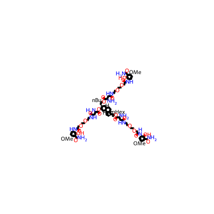 CCCCCC[C@](C)(OC(=O)[C@H](N)CC(=O)NCCOCCOCC(=O)Nc1ccc(OC)c(C(N)=O)c1O)[C@H]1CC[C@H]2[C@@H]3C[C@H](OC(=O)[C@@H](N)CC(=O)NCCOCCOCC(=O)Nc4ccc(OC)c(C(N)=O)c4O)[C@@H](C[C@H](CCCC)OC(=O)[C@@H](N)CC(=O)NCCOCCOCC(=O)Nc4ccc(OC)c(C(N)=O)c4O)C[C@H]3CC[C@@]21C